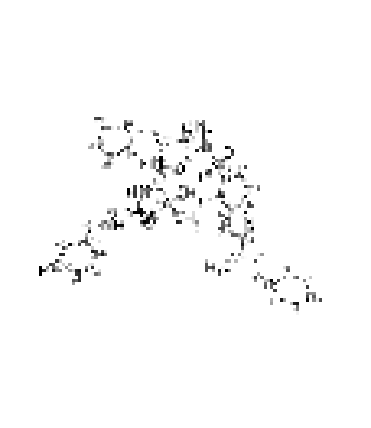 CN(CCN1CCOCC1)c1nc2ccc(S(=O)(=O)NC[C@@H](O)[C@H](Cc3ccccc3)NC(=O)C(NC(=O)CNCc3cccc(F)c3)C(C)(C)C)cc2s1